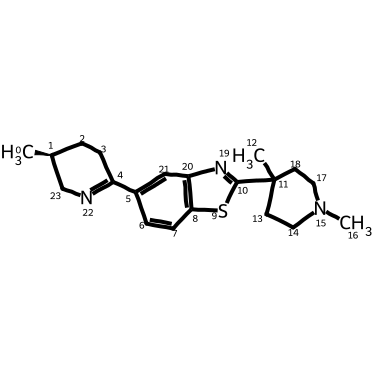 C[C@H]1CCC(c2ccc3sc(C4(C)CCN(C)CC4)nc3c2)=NC1